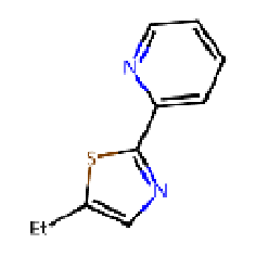 CCc1cnc(-c2ccccn2)s1